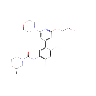 Cc1cc(F)c(NC(=O)N2CCO[C@H](C(C)(C)C)C2)cc1-c1cc(OCCO)nc(N2CCOCC2)c1